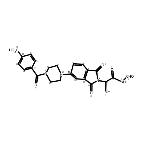 CCCC(C(=O)NC=O)N1C(=O)c2ccc(N3CCN(C(=O)c4ccc(C(=O)O)cc4)CC3)cc2C1=O